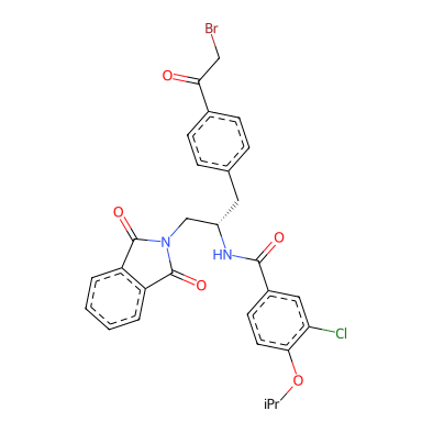 CC(C)Oc1ccc(C(=O)N[C@@H](Cc2ccc(C(=O)CBr)cc2)CN2C(=O)c3ccccc3C2=O)cc1Cl